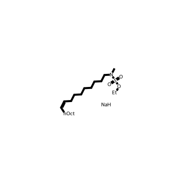 CCCCCCCC/C=C\CCCCCCCCN(C)S(=O)(=O)OCC.[NaH]